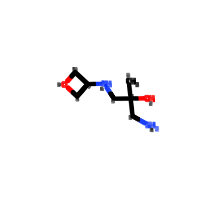 CC(O)(CN)CNC1COC1